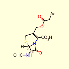 CC(=O)CC(=O)OCC1=C(C(=O)O)N2C(=O)[C@@H](NC=O)[C@@H]2SC1